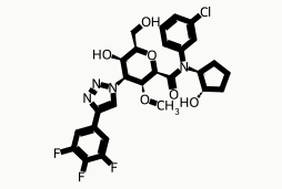 CO[C@@H]1[C@@H](n2cc(-c3cc(F)c(F)c(F)c3)nn2)[C@@H](O)[C@@H](CO)O[C@H]1C(=O)N(c1cccc(Cl)c1)[C@H]1CCC[C@@H]1O